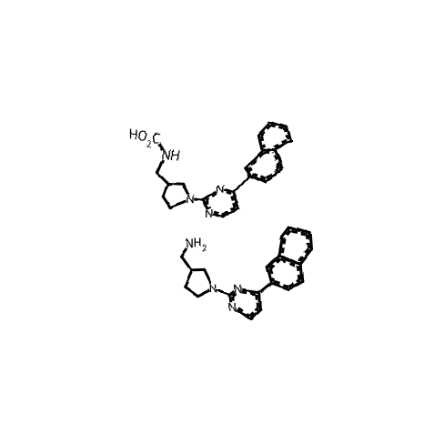 NCC1CCN(c2nccc(-c3ccc4ccccc4c3)n2)C1.O=C(O)NCC1CCN(c2nccc(-c3ccc4ccccc4c3)n2)C1